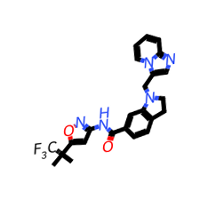 CC(C)(c1cc(NC(=O)c2ccc3c(c2)N(Cc2cnc4ccccn24)CC3)no1)C(F)(F)F